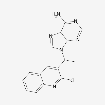 CC(c1cc2ccccc2nc1Cl)N1C=NC2C(N)=NC=NC21